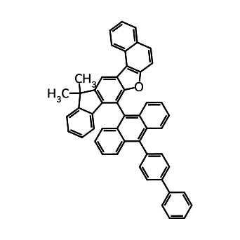 CC1(C)c2ccccc2-c2c1cc1c(oc3ccc4ccccc4c31)c2-c1c2ccccc2c(-c2ccc(-c3ccccc3)cc2)c2ccccc12